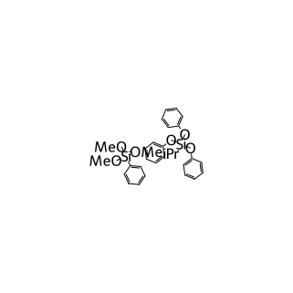 CC(C)[Si](Oc1ccccc1)(Oc1ccccc1)Oc1ccccc1.CO[Si](OC)(OC)c1ccccc1